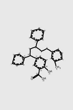 Cc1cccc(CCC(CC(c2ccccc2)c2ccc(O)c(C(=O)O)c2)c2ccccc2)c1